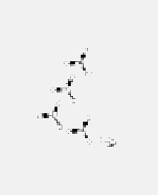 [Co+2].[O]=[Nb](=[O])[O-].[O]=[Nb](=[O])[O-].[O]=[Nb](=[O])[O-].[O]=[Nb](=[O])[O-].[Zn+2]